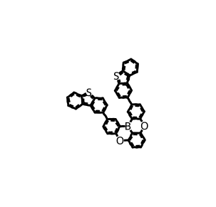 c1cc2c3c(c1)Oc1ccc(-c4ccc5sc6ccccc6c5c4)cc1B3c1cc(-c3ccc4sc5ccccc5c4c3)ccc1O2